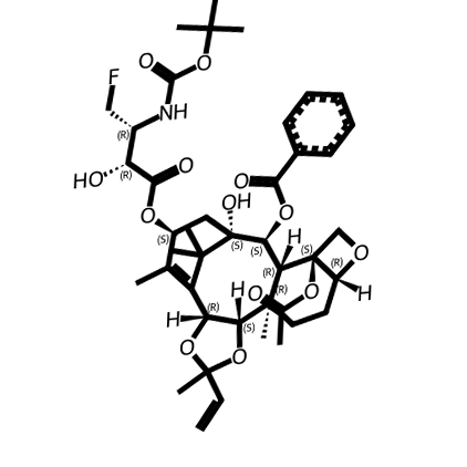 C=CC1(C)O[C@@H]2C3=C(C)[C@@H](OC(=O)[C@H](O)[C@H](CF)NC(=O)OC(C)(C)C)C[C@@](O)([C@@H](OC(=O)c4ccccc4)[C@H]4[C@@](C)(CC[C@H]5OC[C@]54OC(C)=O)[C@@H]2O1)C3(C)C